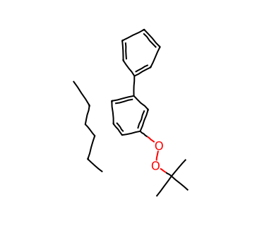 CC(C)(C)OOc1cccc(-c2ccccc2)c1.CCCCCC